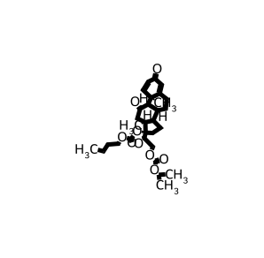 CCCCOC(=O)O[C@]1(C(=O)COC(=O)OC(C)C)CC[C@H]2[C@@H]3CCC4=CC(=O)C=C[C@]4(C)[C@H]3C(=O)C[C@@]21C